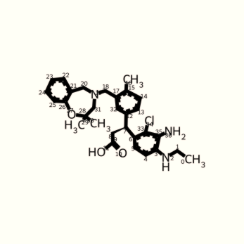 CCNc1ccc([C@@H](CC(=O)O)c2ccc(C)c(CN3Cc4ccccc4OC(C)(C)C3)c2)c(Cl)c1N